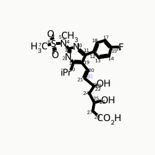 CC(C)c1nc(N(C)S(C)(=O)=O)nc(-c2ccc(F)cc2)c1/C=C/[C@@H](O)CC(O)CC(=O)O